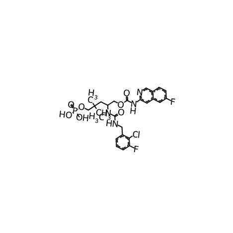 CN(C(=O)NCc1cccc(F)c1Cl)C(COC(=O)Nc1cc2cc(F)ccc2cn1)CC(C)(C)COP(=O)(O)O